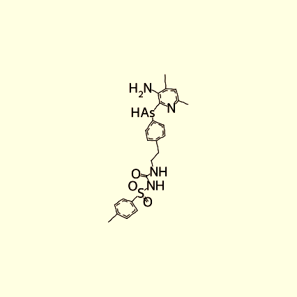 Cc1ccc(S(=O)(=O)NC(=O)NCCc2ccc([AsH]c3nc(C)cc(C)c3N)cc2)cc1